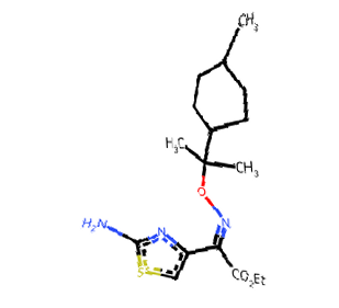 CCOC(=O)C(=NOC(C)(C)C1CCC(C)CC1)c1csc(N)n1